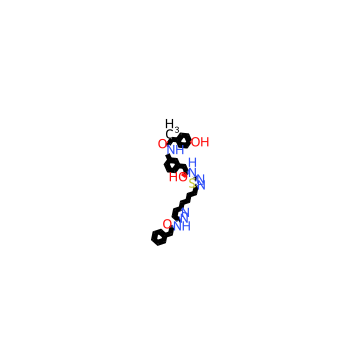 CC(C(=O)NCc1cccc(CC(O)Nc2nnc(CCCCc3ccc(NC(=O)Cc4ccccc4)nn3)s2)c1)c1ccc(O)cc1